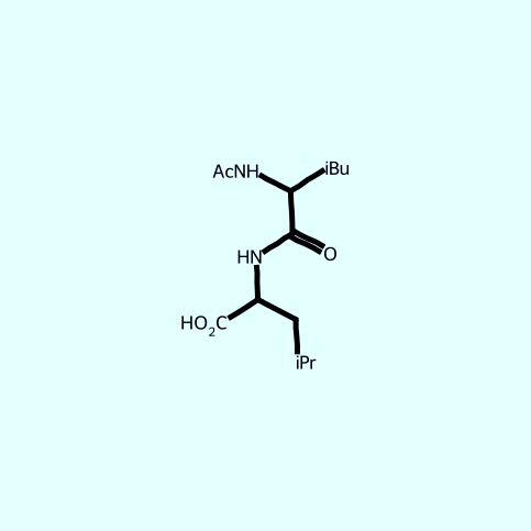 CCC(C)C(NC(C)=O)C(=O)NC(CC(C)C)C(=O)O